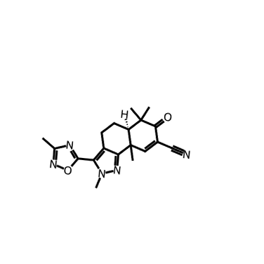 Cc1noc(-c2c3c(nn2C)C2(C)C=C(C#N)C(=O)C(C)(C)[C@@H]2CC3)n1